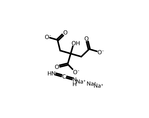 N=C=N.O=C([O-])CC(O)(CC(=O)[O-])C(=O)[O-].[Na+].[Na+].[Na+]